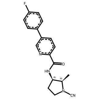 C[C@@H]1[C@H](NC(=O)c2ccc(-c3ccc(F)cc3)cn2)CCN1C#N